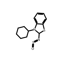 O=S=NC1Sc2ccccc2N1C1CCCCC1